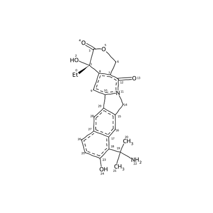 CC[C@@]1(O)C(=O)OCc2c1cc1n(c2=O)Cc2cc3c(C(C)(C)N)c(O)ccc3cc2-1